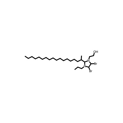 CCCCCCCCCCCCCCCCC(C)C1N(CCC)C(Br)C(Br)N1CCO